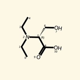 CCN(CC)[C@H](CO)C(=O)O